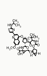 C=CC1C[C@]1(NC(=O)[C@@H]1C[C@@H](Oc2cc(-c3csc(NC(C)C)n3)nc3cc(OC)ccc23)CN1C(=O)C(NC(=O)O[C@@H]1C[C@@H]2C[C@@H]2C1)C(C)(C)C)C(=O)O